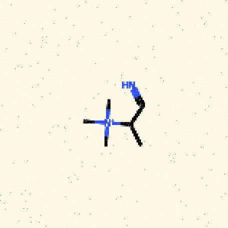 CC(C=N)[N+](C)(C)C